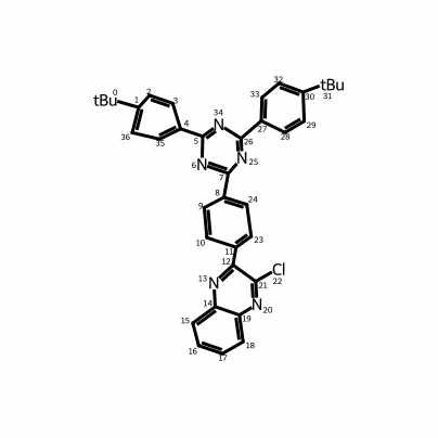 CC(C)(C)c1ccc(-c2nc(-c3ccc(-c4nc5ccccc5nc4Cl)cc3)nc(-c3ccc(C(C)(C)C)cc3)n2)cc1